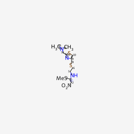 CS/C(=C\[N+](=O)[O-])NCCSCc1csc(CN(C)C)n1